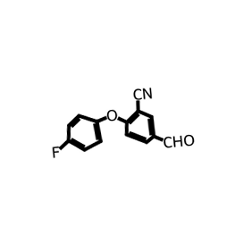 N#Cc1cc(C=O)ccc1Oc1ccc(F)cc1